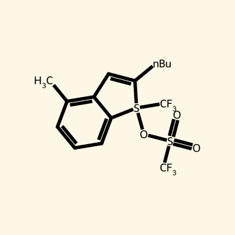 CCCCC1=Cc2c(C)cccc2S1(OS(=O)(=O)C(F)(F)F)C(F)(F)F